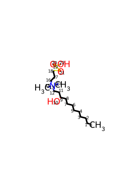 CCCCCCCCCC(O)CC[N+](C)(C)CCCS(=O)(=O)O